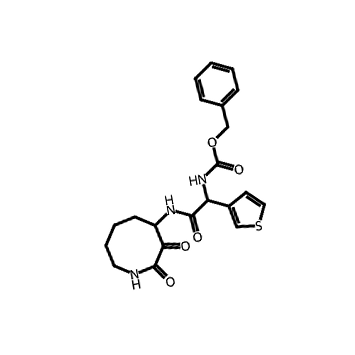 O=C(NC(C(=O)NC1CCCCNC(=O)C1=O)c1ccsc1)OCc1ccccc1